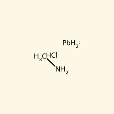 CN.Cl.[PbH2]